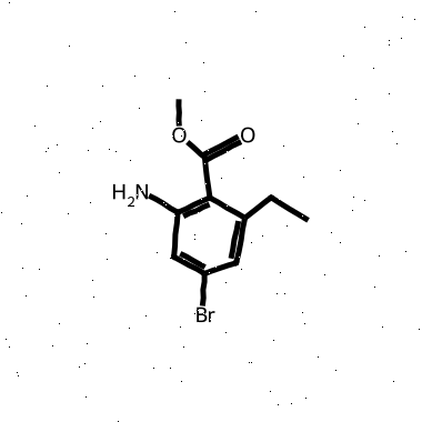 CCc1cc(Br)cc(N)c1C(=O)OC